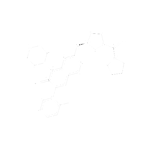 Cc1ccccc1-c1cc2cnc(N[C@H]3CCN(C(=O)N4CCCC4)C3)nc2n(C2CCOCC2)c1=O